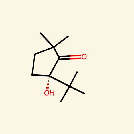 CC1(C)CC[C@](O)(C(C)(C)C)C1=O